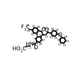 O=C(O)CCNC(=O)c1ccc(C(CC(=O)c2ccc(Oc3ccccc3)cc2)C(=O)c2ccc(CC(F)(F)F)cc2)cc1